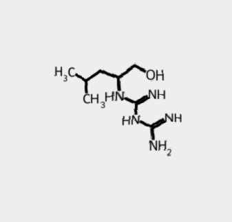 CC(C)CC(CO)NC(=N)NC(=N)N